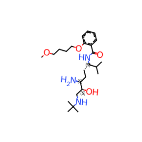 COCCCCOc1ccccc1C(=O)N[C@@H](CC[C@H](N)[C@@H](O)CNC(C)(C)C)C(C)C